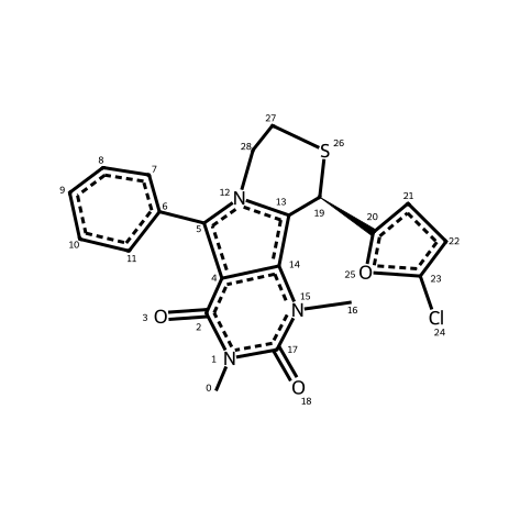 Cn1c(=O)c2c(-c3ccccc3)n3c(c2n(C)c1=O)[C@H](c1ccc(Cl)o1)SCC3